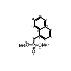 COP(=O)(Cc1cccc2ccccc12)OC